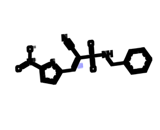 N#C/C(=C\c1ccc([N+](=O)[O-])s1)S(=O)(=O)NCc1ccccc1